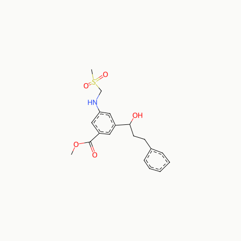 COC(=O)c1cc(NCS(C)(=O)=O)cc(C(O)CCc2ccccc2)c1